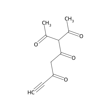 C#CC(=O)CC(=O)C(C(C)=O)C(C)=O